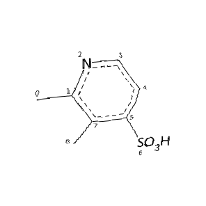 Cc1nccc(S(=O)(=O)O)c1C